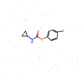 [CH2]c1ccc(OC(=O)NC2CC2)cc1